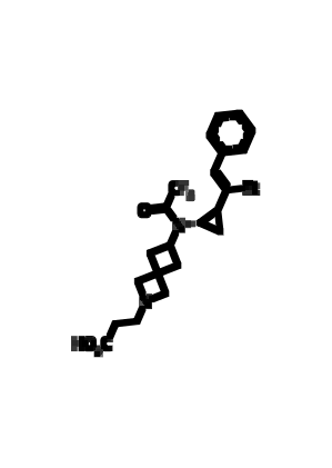 CCC(=Cc1ccccc1)C1C[C@@H]1N(C(=O)C(F)(F)F)C1CC2(C1)CN(CCC(=O)O)C2